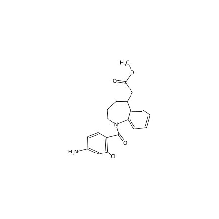 COC(=O)CC1CCCN(C(=O)c2ccc(N)cc2Cl)c2ccccc21